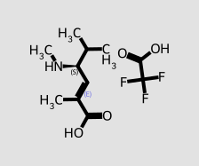 CN[C@H](/C=C(\C)C(=O)O)C(C)C.O=C(O)C(F)(F)F